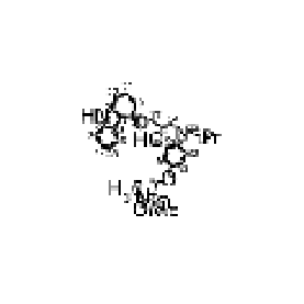 CON(C)C(=O)COc1ccc(N(CC(C)C)C[C@H](O)COc2cccc3[nH]c4ccccc4c23)cc1